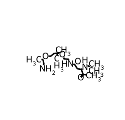 CC(=O)C(CC(=O)NCCOC(C)(C)CCOC(C)CN)NC(C)C